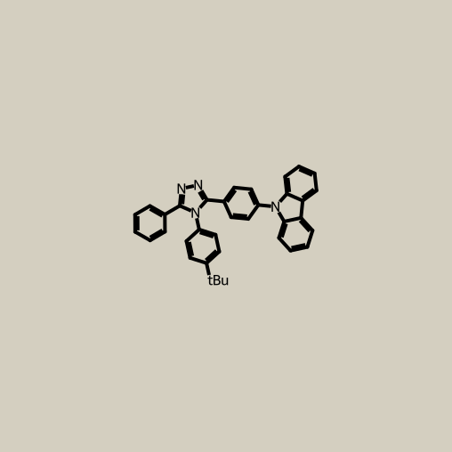 CC(C)(C)c1ccc(-n2c(-c3ccccc3)nnc2-c2ccc(-n3c4ccccc4c4ccccc43)cc2)cc1